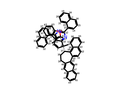 Cc1oc2c(c1/C=C\C(C)(c1nc(-c3cccc4ccccc34)nc(-c3cccc4ccccc34)c1C)[C@H]1CCc3cc4ccccc4cc3-c3ccc4ccccc4c31)CCC=C2